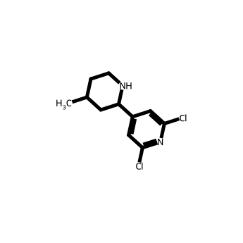 CC1CCNC(c2cc(Cl)nc(Cl)c2)C1